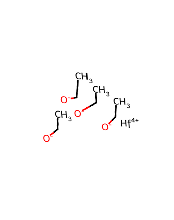 CC[O-].CC[O-].CC[O-].CC[O-].[Hf+4]